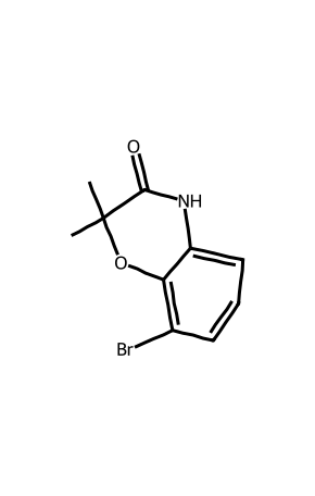 CC1(C)Oc2c(Br)cccc2NC1=O